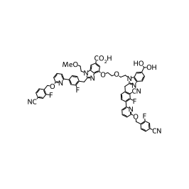 COCCn1c(Cc2ccc(-c3cccc(OCc4ccc(C#N)cc4F)n3)cc2F)nc2c(OCCOCCn3c(Cc4ccc(-c5cccc(OCc6ccc(C#N)cc6F)n5)c(F)c4C#N)nc4ccc(C(O)O)cc43)cc(C(=O)O)cc21